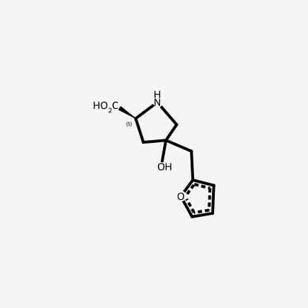 O=C(O)[C@@H]1CC(O)(Cc2ccco2)CN1